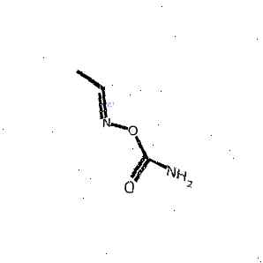 C/C=N/OC(N)=O